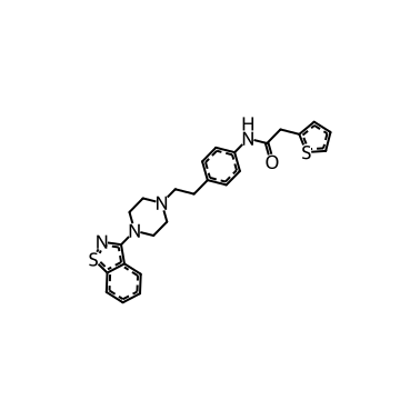 O=C(Cc1cccs1)Nc1ccc(CCN2CCN(c3nsc4ccccc34)CC2)cc1